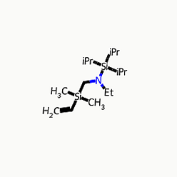 C=C[Si](C)(C)CN(CC)[Si](C(C)C)(C(C)C)C(C)C